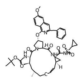 COc1ccc2c(O[C@@H]3C[C@H]4C(=O)N[C@]5(C(=O)NS(=O)(=O)C6CC6)C[C@H]5/C=C\CC[C@H](C)C[C@@H](C)[C@H](NC(=O)OC(C)(C)C)C(=O)N4C3)nc(-c3ccccc3)cc2c1